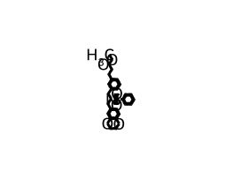 COC(=O)CCc1cccc(CN(Cc2ccc3c(c2)OCCO3)S(=O)(=O)c2ccccc2)c1